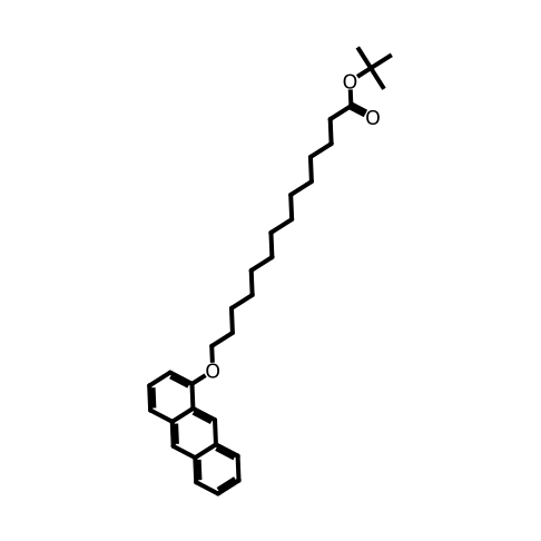 CC(C)(C)OC(=O)CCCCCCCCCCCCCOc1cccc2cc3ccccc3cc12